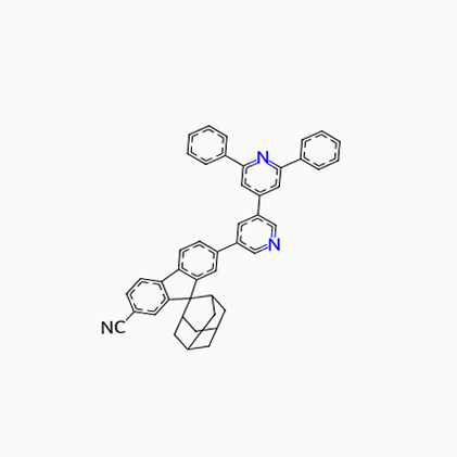 N#Cc1ccc2c(c1)C1(c3cc(-c4cncc(-c5cc(-c6ccccc6)nc(-c6ccccc6)c5)c4)ccc3-2)C2CC3CC(C2)CC1C3